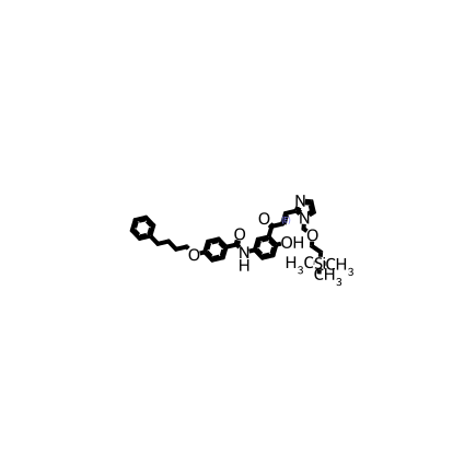 C[Si](C)(C)CCOCn1ccnc1/C=C/C(=O)c1cc(NC(=O)c2ccc(OCCCCc3ccccc3)cc2)ccc1O